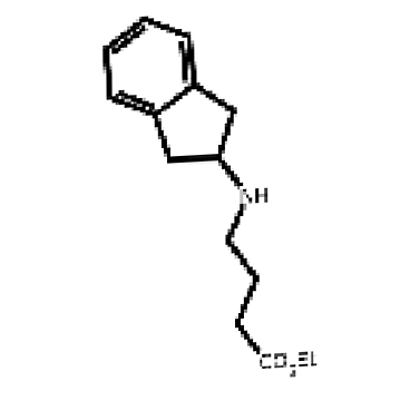 CCOC(=O)CCCNC1Cc2ccccc2C1